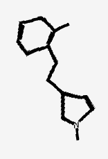 CC1=C(CCC2CCN(C)C2)CC=CC1